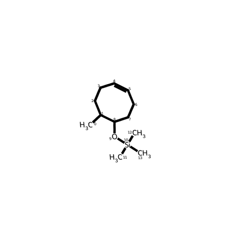 CC1CCC=CCCC1O[Si](C)(C)C